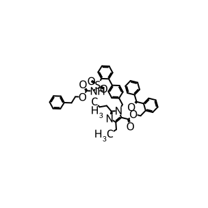 CCCc1nc(CC)c(C(=O)OCc2ccccc2C(=O)c2ccccc2)n1Cc1ccc(-c2ccccc2S(=O)(=O)NC(=O)OCCc2ccccc2)cc1